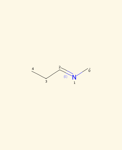 [CH2]/N=C/CC